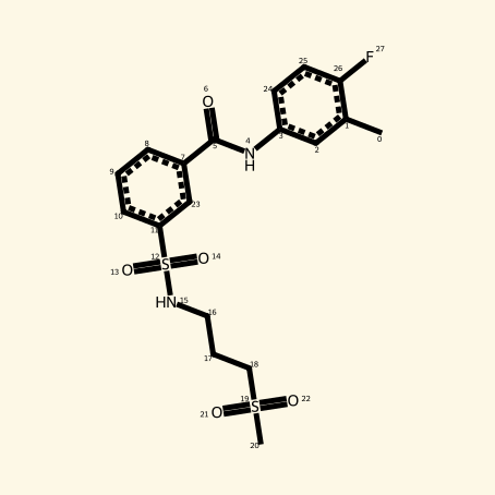 Cc1cc(NC(=O)c2cccc(S(=O)(=O)NCCCS(C)(=O)=O)c2)ccc1F